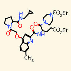 CCOC(=O)CCC(NC(=O)c1cc(OCC(=O)N2CCCC2C(=O)NCC2CC2)c2ccc(C)cc2n1)C(=O)N1CCN(C(=O)OCC)CC1